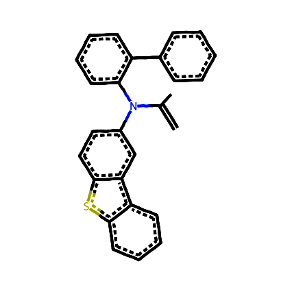 C=C(C)N(c1ccc2sc3ccccc3c2c1)c1ccccc1-c1ccccc1